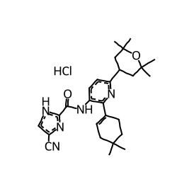 CC1(C)CC=C(c2nc(C3CC(C)(C)OC(C)(C)C3)ccc2NC(=O)c2nc(C#N)c[nH]2)CC1.Cl